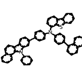 c1ccc(-n2c3cc(-c4ccc(N(c5ccc(-c6cccc7ccccc67)cc5)c5cccc6c5sc5ccccc56)cc4)ccc3c3ccc4ccccc4c32)cc1